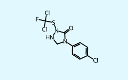 O=C1N(SC(F)(Cl)Cl)NCN1c1ccc(Cl)cc1